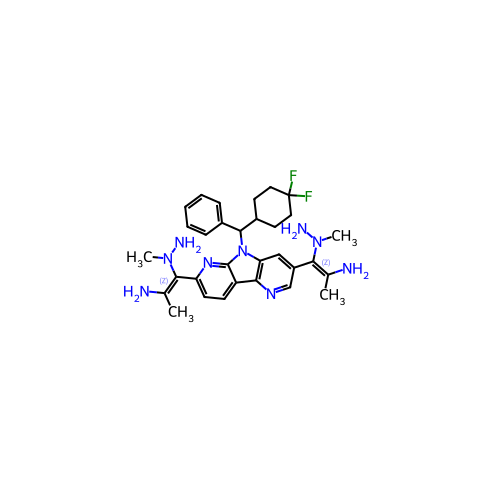 C/C(N)=C(\c1cnc2c3ccc(/C(=C(\C)N)N(C)N)nc3n(C(c3ccccc3)C3CCC(F)(F)CC3)c2c1)N(C)N